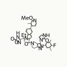 CC[C@](C)(c1noc(=O)[nH]1)n1c(C(=O)N2CCc3nn(-c4cc(C)c(F)c(C)c4)c(-n4cc[nH]c4=O)c3C2)cc2cc(-c3ccnc(OC)c3C)ccc21